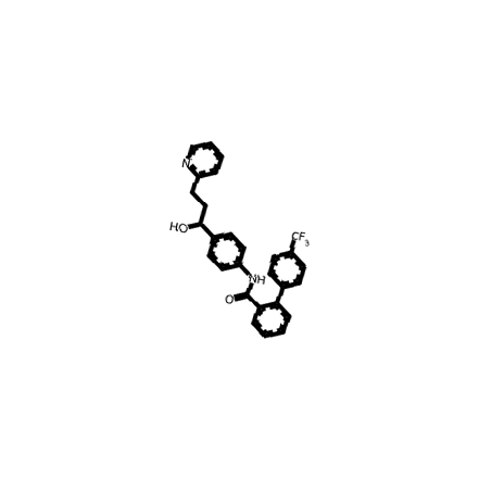 O=C(Nc1ccc(C(O)CCc2ccccn2)cc1)c1ccccc1-c1ccc(C(F)(F)F)cc1